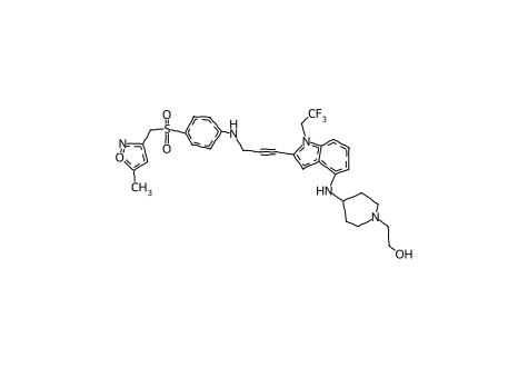 Cc1cc(CS(=O)(=O)c2ccc(NCC#Cc3cc4c(NC5CCN(CCO)CC5)cccc4n3CC(F)(F)F)cc2)no1